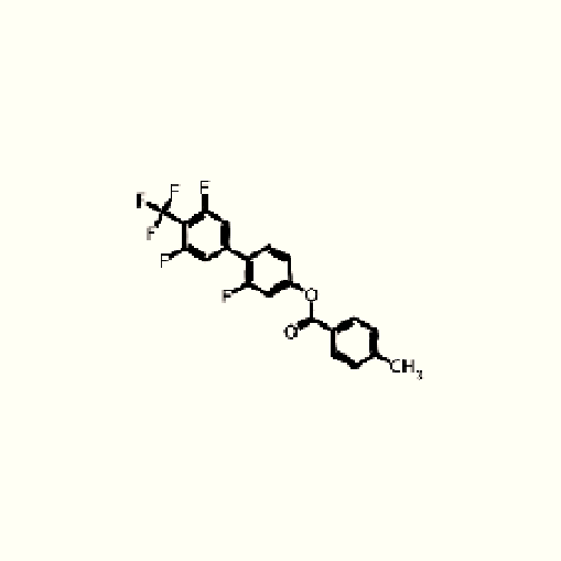 Cc1ccc(C(=O)Oc2ccc(-c3cc(F)c(C(F)(F)F)c(F)c3)c(F)c2)cc1